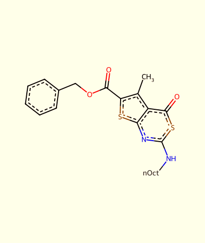 CCCCCCCCNc1nc2sc(C(=O)OCc3ccccc3)c(C)c2c(=O)s1